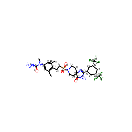 Cc1cc(N(C)C(N)=O)cc(C)c1CCS(=O)(=O)N1CCC2(CC1)N=C(C1C[C@@H](C(F)(F)F)C[C@@H](C(F)(F)F)C1)NC2=O